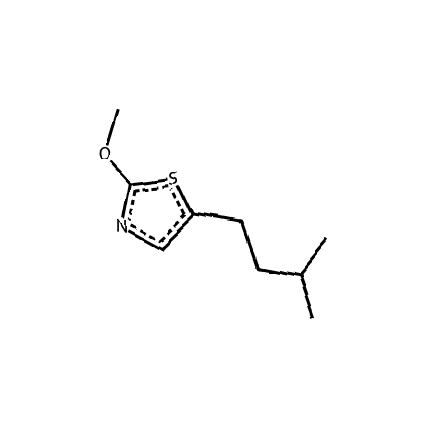 COc1ncc(CCC(C)C)s1